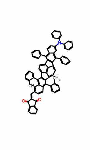 Cc1ccccc1-c1c2c(c(-c3ccccc3C)c3cc(C=C4C(=O)c5ccccc5C4=O)ccc13)-c1ccc3c4c(ccc-2c14)-c1c-3c(-c2ccccc2)c2ccc(N(c3ccccc3)c3ccccc3)cc2c1-c1ccccc1